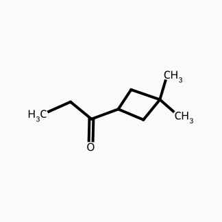 CCC(=O)C1CC(C)(C)C1